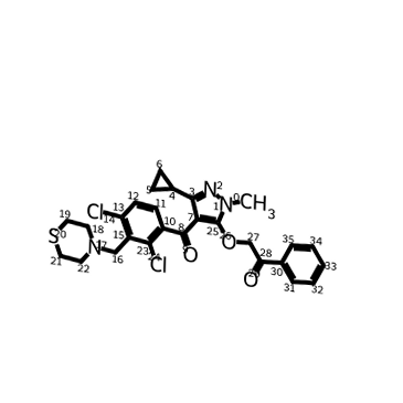 Cn1nc(C2CC2)c(C(=O)c2ccc(Cl)c(CN3CCSCC3)c2Cl)c1OCC(=O)c1ccccc1